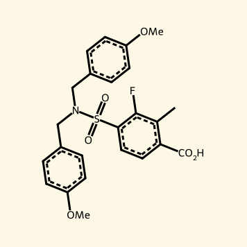 COc1ccc(CN(Cc2ccc(OC)cc2)S(=O)(=O)c2ccc(C(=O)O)c(C)c2F)cc1